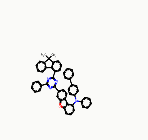 CC1(C)c2ccccc2-c2c(-c3nc(-c4ccccc4)nc(-c4ccc5c(c4)oc4cccc(N(c6ccccc6)c6ccc(-c7ccccc7)cc6)c45)n3)cccc21